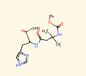 COC(=O)C(Cc1c[nH]cn1)NC(=O)CC(C)(C)NC(=O)OC(C)(C)C